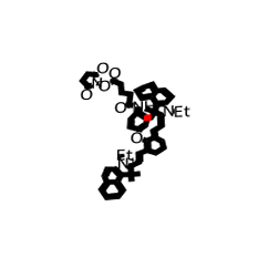 CCN1/C(=C/C=C2\CCCC(/C=C/C3=[N+](CC)c4ccc5ccccc5c4C3(C)C)=C2Oc2ccc(NC(=O)CCCC(=O)ON3C(=O)CCC3=O)cc2)C(C)(C)c2c1ccc1ccccc21